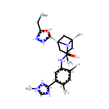 COCc1nnc([C@]23C[C@H](C)C[C@H](C2)N3C(=O)Nc2cc(-c3ncn(C)n3)c(C(F)(F)F)cc2F)o1